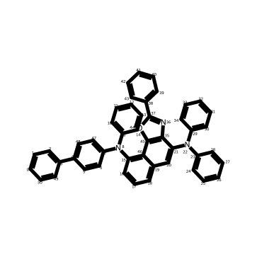 c1ccc(-c2ccc(N(c3ccccc3)c3cccc4cc(N(c5ccccc5)c5ccccc5)c5nc(-c6ccccc6)oc5c34)cc2)cc1